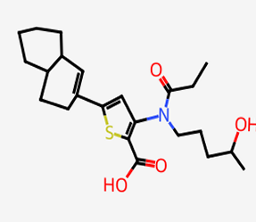 CCC(=O)N(CCCC(C)O)c1cc(C2=CC3CCCCC3CC2)sc1C(=O)O